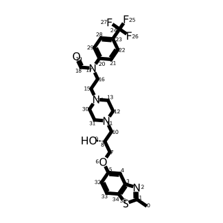 Cc1nc2cc(OC[C@H](O)CN3CCN(CCN(C=O)c4ccc(C(F)(F)F)cc4)CC3)ccc2s1